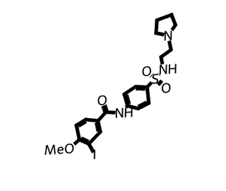 COc1ccc(C(=O)Nc2ccc(S(=O)(=O)NCCN3CCCC3)cc2)cc1I